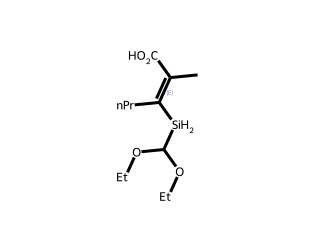 CCC/C([SiH2]C(OCC)OCC)=C(/C)C(=O)O